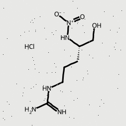 Cl.N=C(N)NCCC[C@@H](CO)N[N+](=O)[O-]